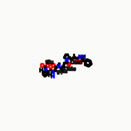 CC[C@H](C)[C@@H]([C@@H](CC(=O)N1CCC[C@H]1[C@H](OC)[C@@H](C)C(=O)N[C@H](C)[C@@H](O)c1ccccc1)OC)N(C)C(=O)[C@@H](NC(=O)[C@@H]1[C@H]2CC[C@H](C2)N1C(=O)OC(C)(C)C)C(C)C